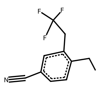 CCc1ccc(C#N)cc1CC(F)(F)F